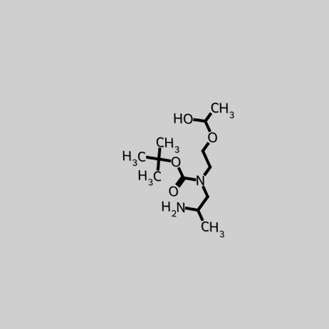 CC(N)CN(CCOC(C)O)C(=O)OC(C)(C)C